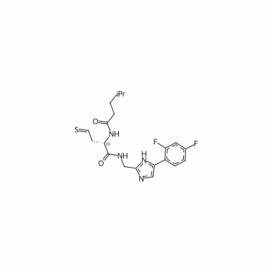 CC(C)CCC(=O)N[C@@H](CC=S)C(=O)NCc1ncc(-c2ccc(F)cc2F)[nH]1